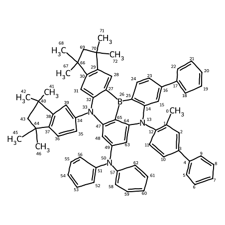 Cc1cc(-c2ccccc2)ccc1N1c2cc(-c3ccccc3)ccc2B2c3cc4c(cc3N(c3ccc5c(c3)C(C)(C)CC5(C)C)c3cc(N(c5ccccc5)c5ccccc5)cc1c32)C(C)(C)CC4(C)C